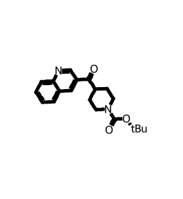 CC(C)(C)OC(=O)N1CCC(C(=O)c2cnc3ccccc3c2)CC1